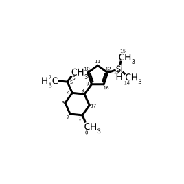 CC1CCC(C(C)C)C(C2=CCC([SiH](C)C)=C2)C1